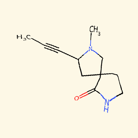 CC#CC1CC2(CCNC2=O)CN1C